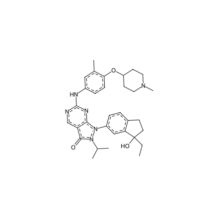 CCC1(O)CCc2ccc(-n3c4nc(Nc5ccc(OC6CCN(C)CC6)c(C)c5)ncc4c(=O)n3C(C)C)cc21